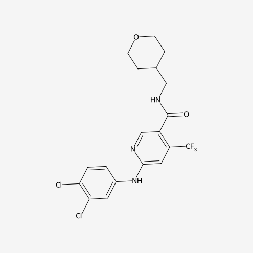 O=C(NCC1CCOCC1)c1cnc(Nc2ccc(Cl)c(Cl)c2)cc1C(F)(F)F